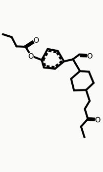 CCCC(=O)Oc1ccc(C(C=O)C2CCC(CCC(=O)CC)CC2)cc1